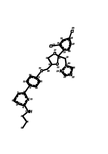 CCCNc1nccc(-c2ccc(OCC3COC(Cn4cncn4)(c4ccc(Cl)cc4Cl)O3)cc2)n1